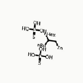 CCCCCCC([CH2][Zn])CCCC.OP(O)(O)=S.OP(O)(O)=S